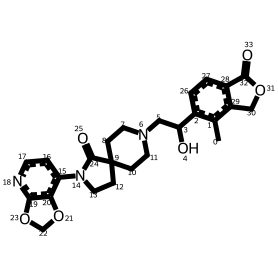 Cc1c(C(O)CN2CCC3(CC2)CCN(c2ccnc4c2OCO4)C3=O)ccc2c1COC2=O